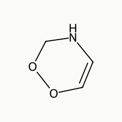 C1=COOCN1